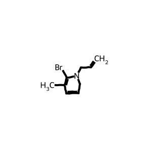 C=CCN1CC=CC(C)=C1Br